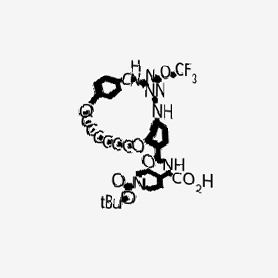 CC(C)(C)OC(=O)N1CCC(C(NC(=O)c2ccc3cc2OCCCCCCOc2ccc(cc2)CNc2nc(nc(OCC(F)(F)F)n2)N3)C(=O)O)CC1